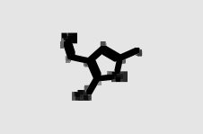 CCCCc1[nH]c(C)cc1C=N